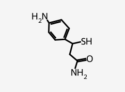 NC(=O)CC(S)c1ccc(N)cc1